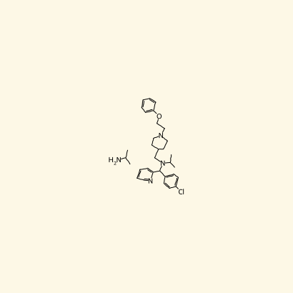 CC(C)N.CC(C)N(CC1CCN(CCOc2ccccc2)CC1)C(c1ccc(Cl)cc1)c1ccccn1